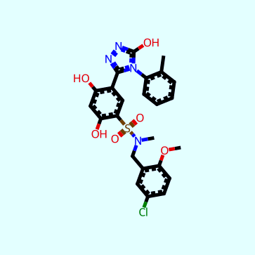 COc1ccc(Cl)cc1CN(C)S(=O)(=O)c1cc(-c2nnc(O)n2-c2ccccc2C)c(O)cc1O